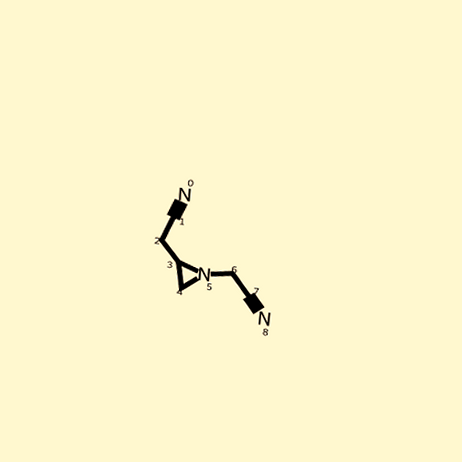 N#CCC1CN1CC#N